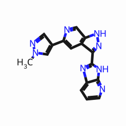 Cn1cc(-c2cc3c(-c4nc5cccnc5[nH]4)n[nH]c3cn2)cn1